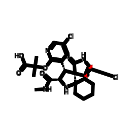 CNC(=O)[C@@H]1NC2(CCCCC2)[C@@]2(C(=O)Nc3cc(Cl)ccc32)[C@H]1c1cc(Cl)cnc1OC(C)(C)C(=O)O